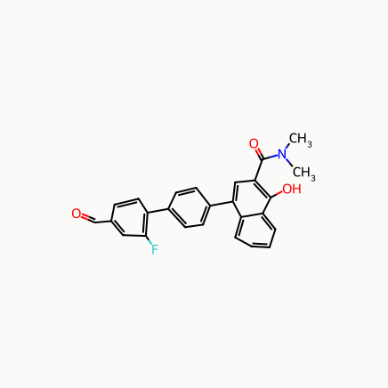 CN(C)C(=O)c1cc(-c2ccc(-c3ccc(C=O)cc3F)cc2)c2ccccc2c1O